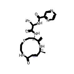 C=C1N[C@@H](C)/C=C/C(=O)NCCSC[C@@H]1NC(=O)C(NC(=O)c1cnccn1)C(C)C